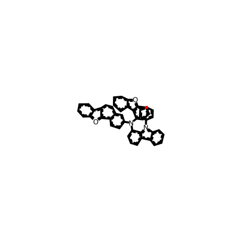 c1ccc(-n2c3ccccc3c3cccc(N(c4ccc5c(ccc6c7ccccc7oc56)c4)c4cccc5oc6ccccc6c45)c32)cc1